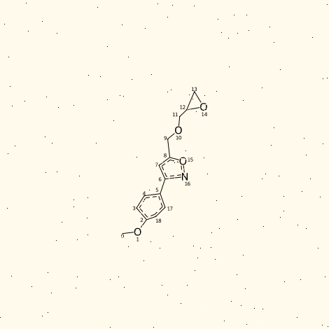 COc1ccc(-c2cc(COCC3CO3)on2)cc1